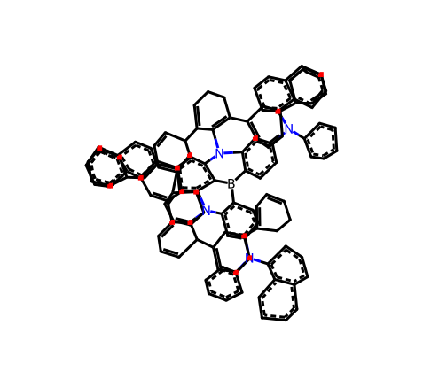 C1=CCCC(C2=CC(C3C=CC=C(C4=CC(c5ccccc5)=CCC4)C3N3c4cc(N(c5ccccc5)c5cccc6ccccc56)ccc4B4c5ccc(N(c6ccccc6)c6cccc7ccccc67)cc5N(C5=C(C6=CC=CC(C7C=CC=CC7)C6)CCC=C5C5C=CC=C(C6=CC=CCC6)C5)c5cc(-c6ccc7ccccc7c6)cc3c54)=CCC2)=C1